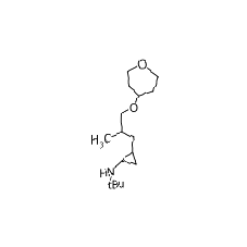 CC(COC1CCOCC1)CC1CC1NC(C)(C)C